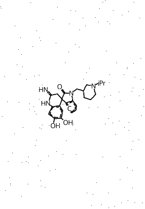 CC(C)N1CCCC(CN2C(=O)C3(CC(=N)Nc4cc(O)c(O)cc43)c3ccccc32)C1